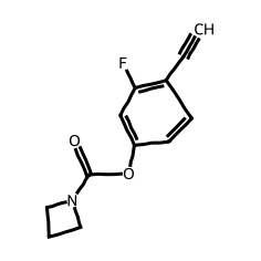 C#Cc1ccc(OC(=O)N2CCC2)cc1F